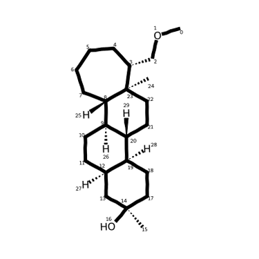 COC[C@H]1CCCC[C@H]2[C@@H]3CC[C@@H]4C[C@](C)(O)CC[C@@H]4[C@H]3CC[C@]12C